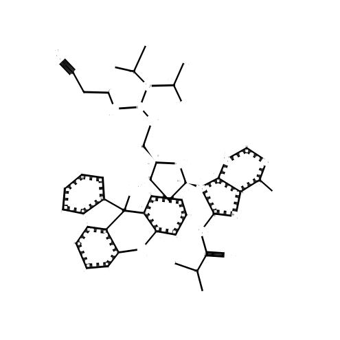 CC(C)C(=O)Nc1nc2c(O)ncnc2n1[C@H]1C[C@H](OC2(c3ccccc3)c3ccccc3Oc3ccccc32)[C@@H](COP(OCCC#N)N(C(C)C)C(C)C)O1